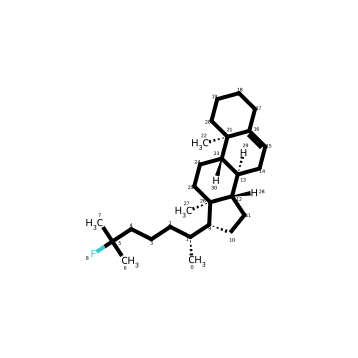 C[C@H](CCCC(C)(C)F)[C@H]1CC[C@H]2[C@@H]3CC=C4CCCC[C@]4(C)[C@H]3CC[C@]12C